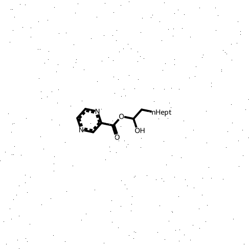 CCCCCCCCC(O)OC(=O)c1cnccn1